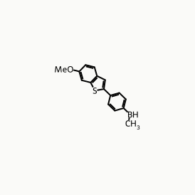 CBc1ccc(-c2cc3ccc(OC)cc3s2)cc1